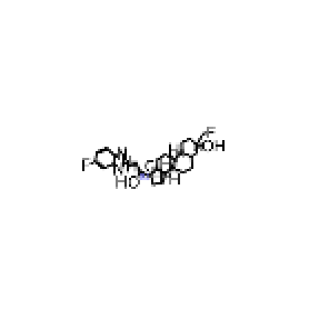 C[C@]12CC[C@H]3[C@@H](CCC4C[C@@](O)(CF)CC[C@@H]43)[C@@H]1CC/C2=C(\O)Cn1nc2ccc(F)cc2n1